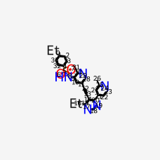 CCc1ccc(S(=O)(=O)Nc2cc(C#Cc3c(CC)ncnc3-c3ccnc(C)c3)cnc2C)cc1